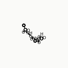 O=C1CCC(N2Cc3c(NC(=O)COCCNC=C4C(=O)CC(c5ccccc5)CC4=O)cccc3C2=O)C(=O)N1